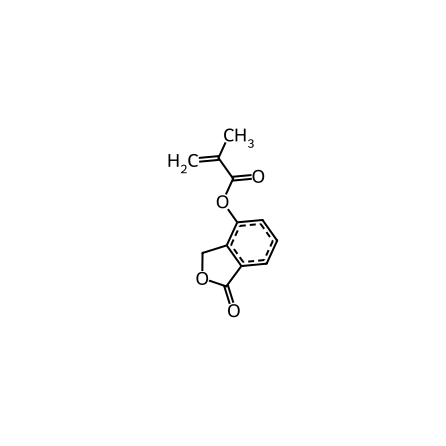 C=C(C)C(=O)Oc1cccc2c1COC2=O